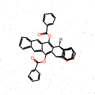 O=C(Oc1c2c(c(OC(=O)c3ccccc3)c3cc4ccccc4cc13)[C@@H]1C3=C(C=CCC3)C2c2ccccc21)c1ccccc1